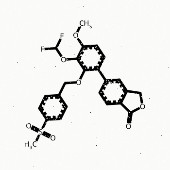 COc1ccc(-c2ccc3c(c2)COC3=O)c(OCc2ccc(S(C)(=O)=O)cc2)c1OC(F)F